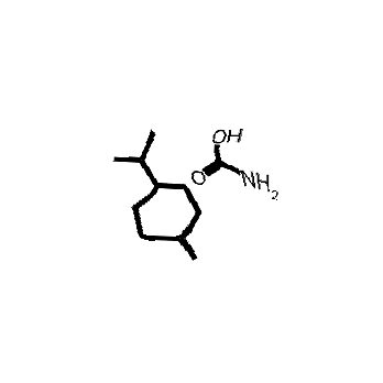 CC1CCC(C(C)C)CC1.NC(=O)O